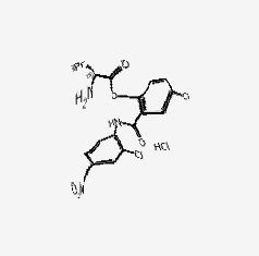 CC(C)[C@H](N)C(=O)Oc1ccc(Cl)cc1C(=O)Nc1ccc([N+](=O)[O-])cc1Cl.Cl